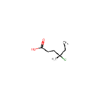 CCC(C)(Cl)CCC(=O)O